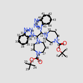 CC(C)(C)OC(=O)N1CCCN(C(C(N2CCCN(C(=O)OC(C)(C)C)CC2)n2nnc3ccccc32)n2nnc3ccccc32)CC1